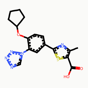 Cc1nc(-c2ccc(OC3CCCC3)c(-n3cnnn3)c2)sc1C(=O)O